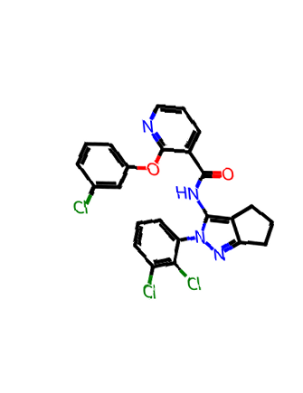 O=C(Nc1c2c(nn1-c1cccc(Cl)c1Cl)CCC2)c1cccnc1Oc1cccc(Cl)c1